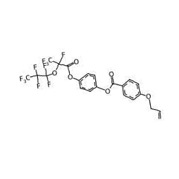 C=CCOc1ccc(C(=O)Oc2ccc(OC(=O)C(F)(OC(F)(F)C(F)(F)C(F)(F)F)C(F)(F)F)cc2)cc1